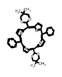 CC1(C)COC(C2=C3C=CC(=N3)C(c3ccccc3)=C3C=CC(=N3)C(C3OCC(C)(C)CO3)=C3C=CC(=N3)C(c3ccccc3)=C3C=CC2=N3)OC1